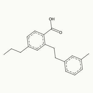 CCCc1ccc(C(=O)O)c(CCc2cccc(C)c2)c1